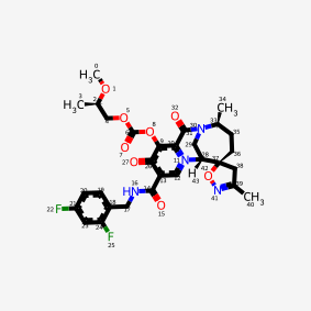 CO[C@H](C)COC(=O)Oc1c2n(cc(C(=O)NCc3ccc(F)cc3F)c1=O)[C@@H]1CN(C2=O)[C@@H](C)CC[C@]12CC(C)=NO2